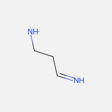 [NH]CCC=N